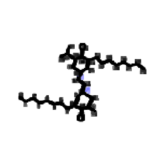 CCCCCCCCC1=C/C(=C\C=C2/C=C(CCCCCCCC)C(=O)C(C(C)C)=C2)C=C(C)C1=O